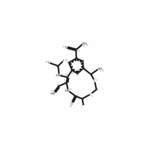 CC1CCCC(N)c2cc(C(N)=O)cc(c2)/C(NC(F)F)=C(/C=N)NC1=O